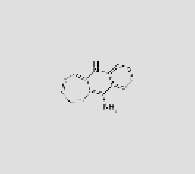 NC1=C2C=CC=CC=C2Nc2ccccc21